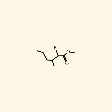 CCCC(C)C(F)C(=O)OC